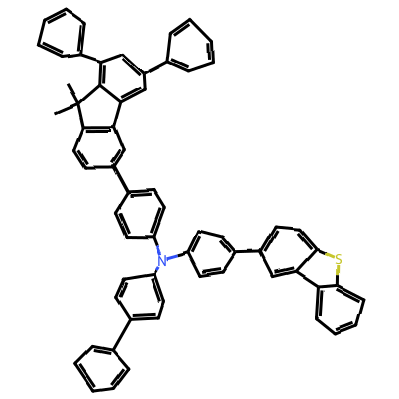 CC1(C)c2ccc(-c3ccc(N(c4ccc(-c5ccccc5)cc4)c4ccc(-c5ccc6sc7ccccc7c6c5)cc4)cc3)cc2-c2cc(-c3ccccc3)cc(-c3ccccc3)c21